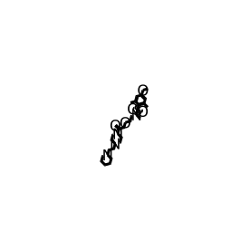 COc1cc(C)c(S(=O)(=O)N(C)CCOCC(=O)N2CCN(CCN3CCCCC3)CC2)c(C)c1